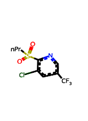 CCCS(=O)(=O)c1ncc(C(F)(F)F)cc1Cl